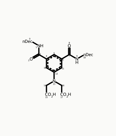 CCCCCCCCCCNC(=O)c1cc(C(=O)NCCCCCCCCCC)cc(N(CC(=O)O)CC(=O)O)c1